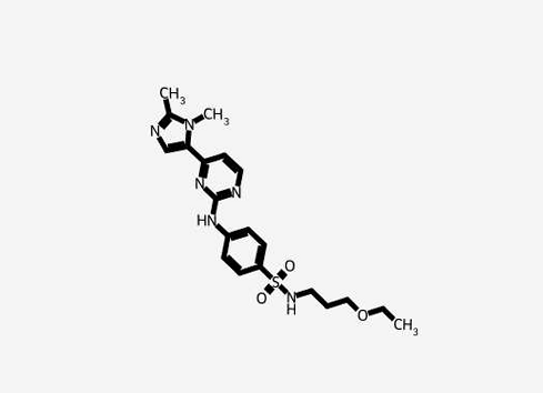 CCOCCCNS(=O)(=O)c1ccc(Nc2nccc(-c3cnc(C)n3C)n2)cc1